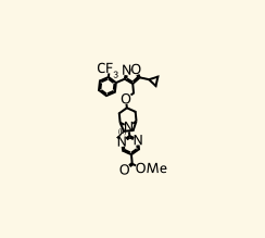 COC(=O)c1cnc(N2C3CC(OCc4c(-c5ccccc5C(F)(F)F)noc4C4CC4)CC2[C@H](C)C3)nc1